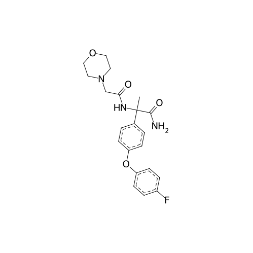 CC(NC(=O)CN1CCOCC1)(C(N)=O)c1ccc(Oc2ccc(F)cc2)cc1